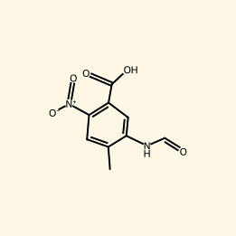 Cc1cc([N+](=O)[O-])c(C(=O)O)cc1NC=O